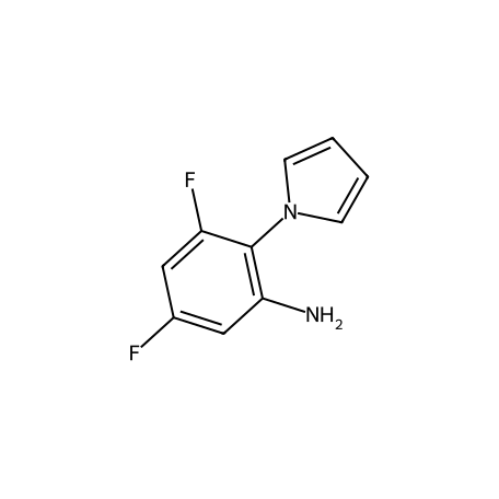 Nc1cc(F)cc(F)c1-n1cccc1